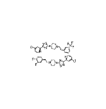 FC(F)(F)c1cccc(CCN2CCN(c3nc(-c4cc(Cl)ccn4)ns3)CC2)c1.Fc1ccc(CCN2CCN(c3nc(-c4cc(Cl)ccn4)ns3)CC2)cc1F